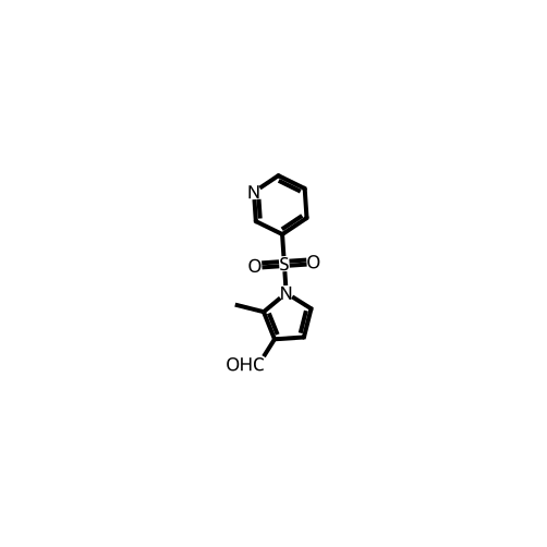 Cc1c(C=O)ccn1S(=O)(=O)c1cccnc1